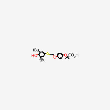 CC(C)(Oc1ccc(OCCSc2cc(C(C)(C)C)c(O)c(C(C)(C)C)c2)cc1)C(=O)O